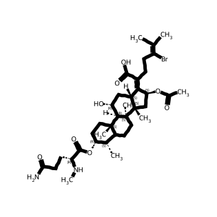 CN[C@H](CCC(N)=O)C(=O)O[C@@H]1CC[C@@]2(C)C(CC[C@@]3(C)[C@@H]2[C@H](O)C[C@@H]2C(=C(CCC(Br)=C(C)C)C(=O)O)[C@@H](OC(C)=O)C[C@@]23C)[C@@H]1C